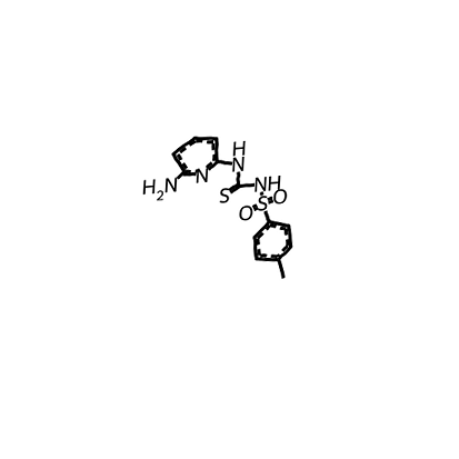 Cc1ccc(S(=O)(=O)NC(=S)Nc2cccc(N)n2)cc1